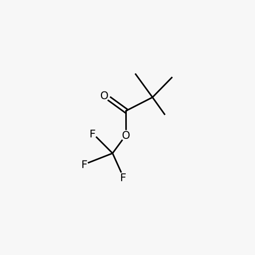 CC(C)(C)C(=O)OC(F)(F)F